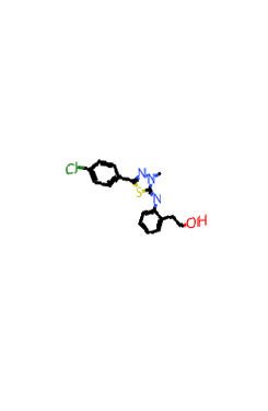 Cn1nc(-c2ccc(Cl)cc2)sc1=Nc1ccccc1CCO